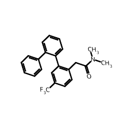 CN(C)C(=O)Cc1ccc(C(F)(F)F)cc1-c1ccccc1-c1ccccc1